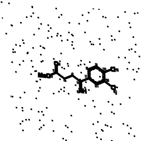 COC(=O)CCC(=N)c1ccc(Cl)c(Cl)c1